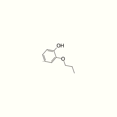 CCCOc1c[c]ccc1O